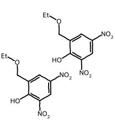 CCOCc1cc([N+](=O)[O-])cc([N+](=O)[O-])c1O.CCOCc1cc([N+](=O)[O-])cc([N+](=O)[O-])c1O